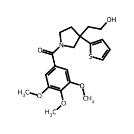 COc1cc(C(=O)N2CCC(CCO)(c3cccs3)C2)cc(OC)c1OC